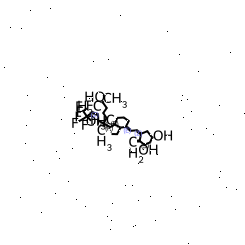 C=C1/C(=C\C=C2/CCC[C@@]3(C)C2CC[C@@H]3[C@](C)(C/C=C\C(O)(C(F)(F)F)C(F)(F)F)CCCC(C)(C)O)CC(O)C[C@@H]1O